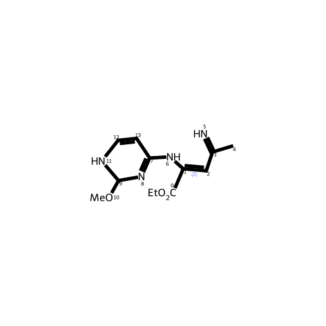 CCOC(=O)/C(=C/C(C)=N)NC1=NC(OC)NC=C1